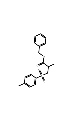 Cc1ccc(S(=O)(=O)CC(C)C(=O)OCc2ccccc2)cc1